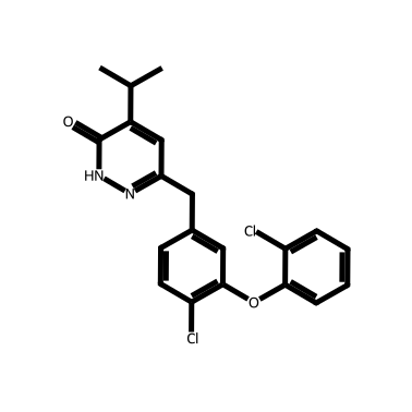 CC(C)c1cc(Cc2ccc(Cl)c(Oc3ccccc3Cl)c2)n[nH]c1=O